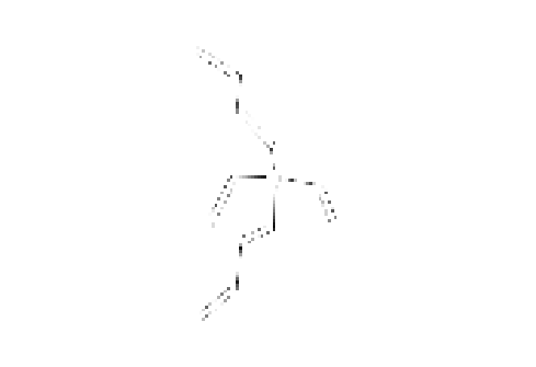 C=CC=[CH][Cr]([CH]=O)([CH]=O)[CH]=CC=C